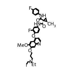 CCN(CI)CCCOc1cc2nccc(Oc3ccc(NC(=O)[C@]4(C(=O)Nc5ccc(F)cc5)C[C@@H]4C)cc3F)c2cc1OC